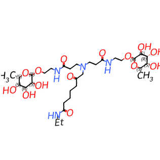 CCNC(=O)CCCCC(=O)CN(CCC(=O)NCCO[C@@H]1O[C@@H](C)[C@@H](O)[C@@H](O)[C@@H]1O)CCC(=O)NCCO[C@@H]1O[C@@H](C)[C@@H](O)[C@@H](O)[C@@H]1O